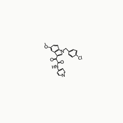 COc1ccc2c(c1)c(C(=O)C(=O)Nc1ccncc1)cn2Cc1ccc(Cl)cc1